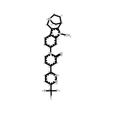 Cn1c2c(c3ccc(-n4ccc(-c5ccc(C(F)(F)F)nn5)cc4=O)cc31)CN1CCC2CC1